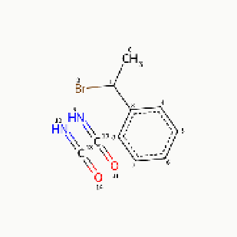 CC(Br)c1ccccc1.N=C=O.N=C=O